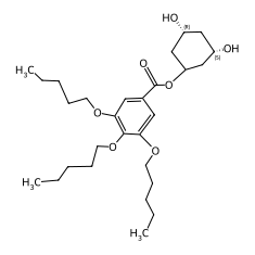 CCCCCOc1cc(C(=O)OC2C[C@@H](O)C[C@@H](O)C2)cc(OCCCCC)c1OCCCCC